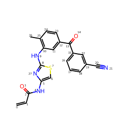 C=CC(=O)Nc1csc(Nc2cc(C(=O)c3cccc(C#N)c3)ccc2C)n1